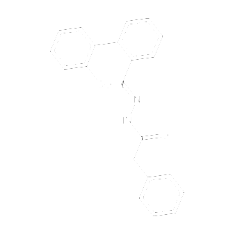 O=C(Cc1ccccc1)NN=Cc1ccccc1-c1ccccc1S(=O)(=O)O